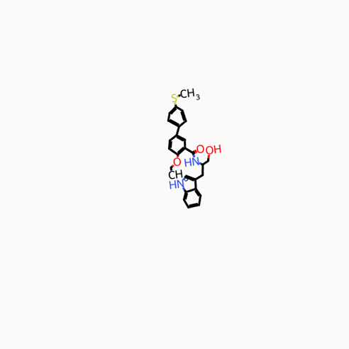 CCOc1ccc(-c2ccc(SC)cc2)cc1C(=O)NC(CO)Cc1c[nH]c2ccccc12